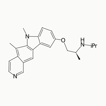 Cc1c2ccncc2cc2c3cc(OC[C@H](C)NC(C)C)ccc3n(C)c12